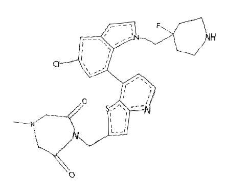 CN1CC(=O)N(Cc2cc3nccc(-c4cc(Cl)cc5ccn(CC6(F)CCNCC6)c45)c3s2)C(=O)C1